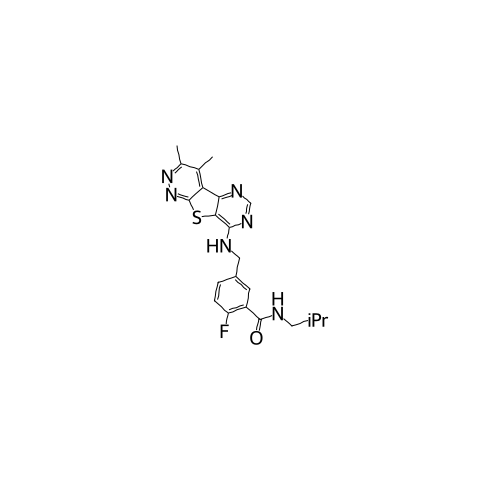 Cc1nnc2sc3c(NCc4ccc(F)c(C(=O)NCC(C)C)c4)ncnc3c2c1C